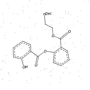 CCCCCCCCCCCCOC(=O)c1ccccc1OC(=O)c1ccccc1O